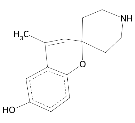 CC1=CC2(CCNCC2)Oc2ccc(O)cc21